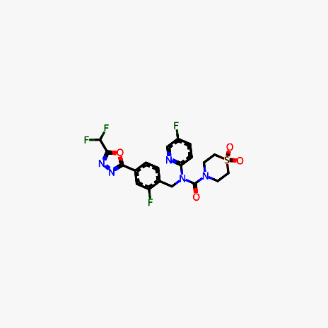 O=C(N1CCS(=O)(=O)CC1)N(Cc1ccc(-c2nnc(C(F)F)o2)cc1F)c1ccc(F)cn1